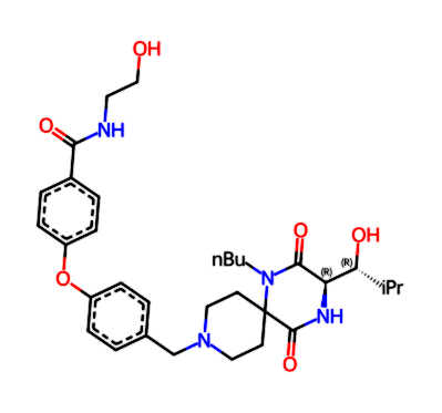 CCCCN1C(=O)[C@@H]([C@H](O)C(C)C)NC(=O)C12CCN(Cc1ccc(Oc3ccc(C(=O)NCCO)cc3)cc1)CC2